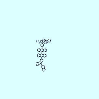 C[Si]1(C)c2ccc(-c3c4ccccc4c(-c4c5ccccc5c(-c5ccc6c(c5)c5ccccc5n6-c5ccc6ccccc6c5)c5ccccc45)c4ccccc34)cc2-c2cc3ccccc3cc21